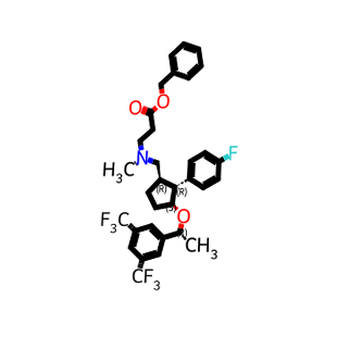 C[C@@H](O[C@H]1CC[C@@H](CN(C)CCC(=O)OCc2ccccc2)[C@@H]1c1ccc(F)cc1)c1cc(C(F)(F)F)cc(C(F)(F)F)c1